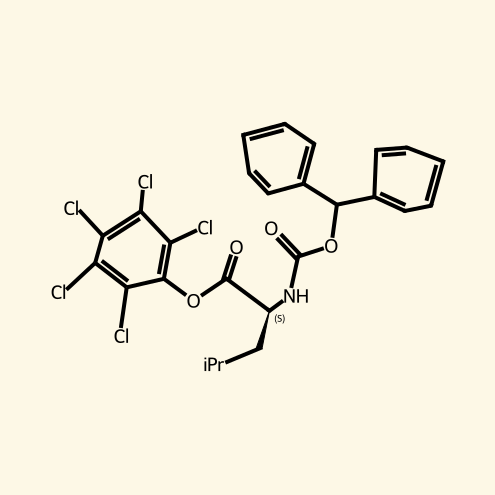 CC(C)C[C@H](NC(=O)OC(c1ccccc1)c1ccccc1)C(=O)Oc1c(Cl)c(Cl)c(Cl)c(Cl)c1Cl